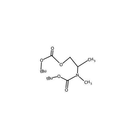 CC(COC(=O)OC(C)(C)C)N(C)C(=O)OC(C)(C)C